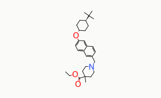 CCOC(=O)C1(C)CCN(Cc2ccc3cc(O[C@H]4CC[C@H](C(C)(C)C)CC4)ccc3c2)CC1